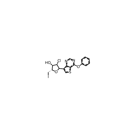 O[C@@H]1[C@@H](CI)OC(c2csc3c(Oc4ccccc4)ncnc23)[C@@H]1Cl